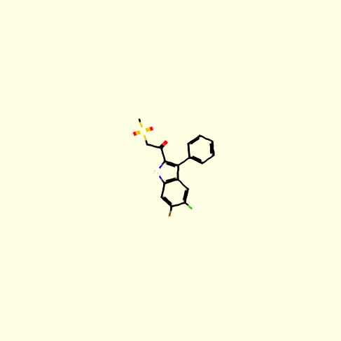 CS(=O)(=O)CC(=O)c1[nH]c2cc(Br)c(Cl)cc2c1-c1ccccc1